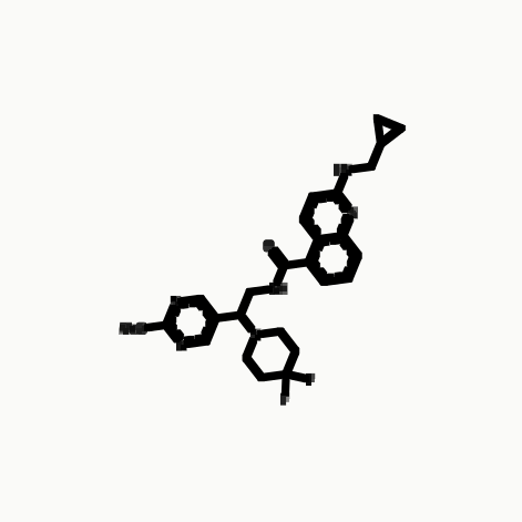 COc1ncc(C(CNC(=O)c2cccc3nc(NCC4CC4)ccc23)N2CCC(F)(F)CC2)cn1